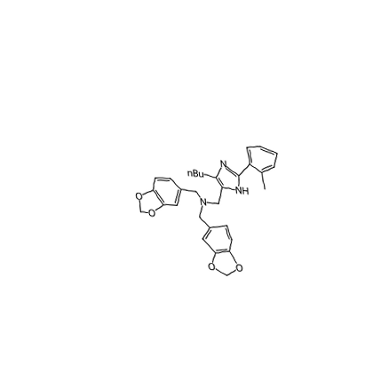 CCCCc1nc(-c2ccccc2C)[nH]c1CN(Cc1ccc2c(c1)OCO2)Cc1ccc2c(c1)OCO2